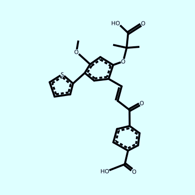 COc1cc(OC(C)(C)C(=O)O)c(C=CC(=O)c2ccc(C(=O)O)cc2)cc1-c1cccs1